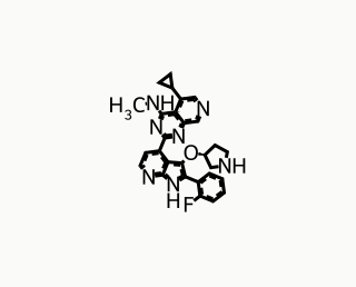 CNc1nc(-c2ccnc3[nH]c(-c4ccccc4F)c(O[C@H]4CCNC4)c23)nc2cncc(C3CC3)c12